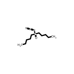 CCCCCP(=O)(CCCCC)N=[N+]=[N-]